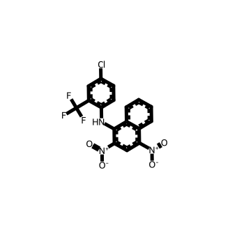 O=[N+]([O-])c1cc([N+](=O)[O-])c2ccccc2c1Nc1ccc(Cl)cc1C(F)(F)F